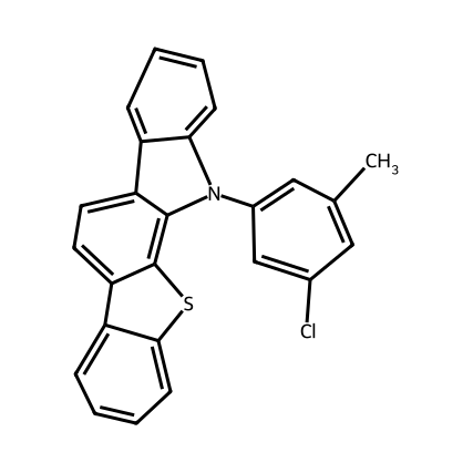 Cc1cc(Cl)cc(-n2c3ccccc3c3ccc4c5ccccc5sc4c32)c1